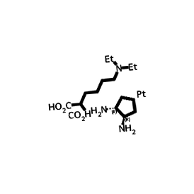 CCN(CC)CCCCC(C(=O)O)C(=O)O.N[C@@H]1CCC[C@H]1N.[Pt]